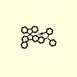 N#Cc1ccccc1N(c1ccccc1)c1ccc2cc3c(cc2c1)C1(c2ccccc2-c2ccccc21)c1ccc2ccccc2c1-3